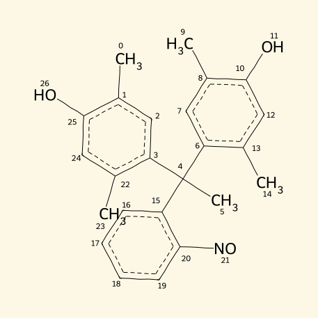 Cc1cc(C(C)(c2cc(C)c(O)cc2C)c2ccccc2N=O)c(C)cc1O